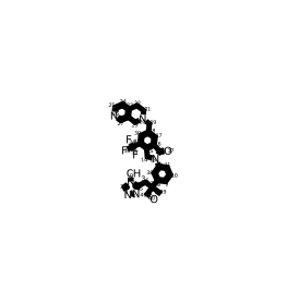 Cn1cnnc1CC1(c2cccc(N3Cc4c(cc(CN5CCc6ccncc6C5)cc4C(F)(F)F)C3=O)c2)COC1